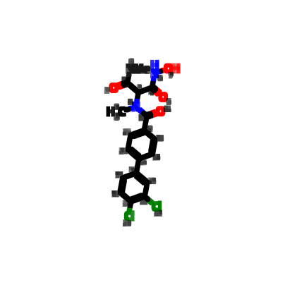 CNC(=O)C(C(=O)NO)N(C)C(=O)c1ccc(-c2ccc(Cl)c(Cl)c2)cc1